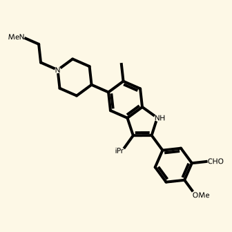 CNCCN1CCC(c2cc3c(C(C)C)c(-c4ccc(OC)c(C=O)c4)[nH]c3cc2C)CC1